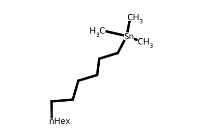 CCCCCCCCCCC[CH2][Sn]([CH3])([CH3])[CH3]